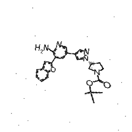 CC(C)(C)OC(=O)N1CC[C@@H](n2cc(-c3cnc(N)c(-c4cc5ccccc5o4)c3)cn2)C1